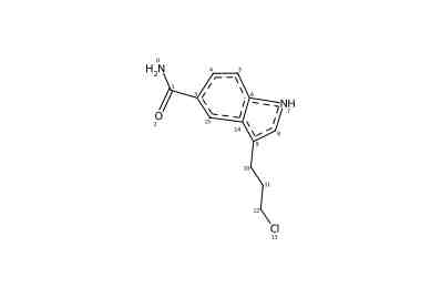 NC(=O)c1ccc2[nH]cc(CCCCl)c2c1